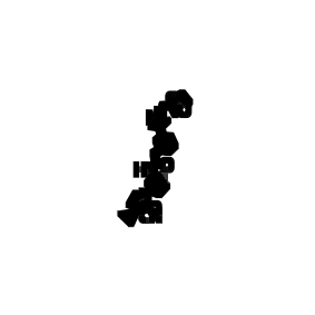 N#C[C@@]1(C2CC2)CCN(c2ccnc(NC(=O)Cc3cccc(-c4cnn(CC5COCCO5)c4)c3)c2)C1=O